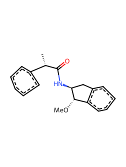 CO[C@H]1c2ccccc2C[C@@H]1NC(=O)[C@@H](C)c1ccccc1